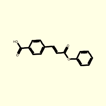 O=C(/C=C/c1ccc(C(=O)O)cc1)Oc1ccccc1